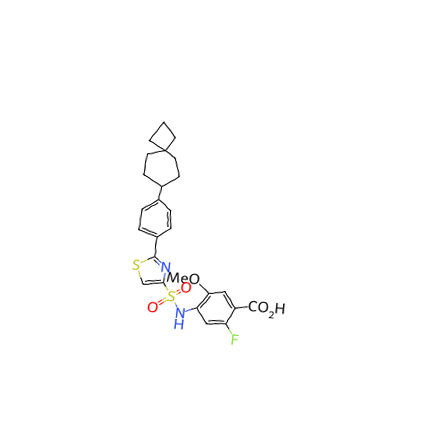 COc1cc(C(=O)O)c(F)cc1NS(=O)(=O)c1csc(-c2ccc(C3CCC4(CCC4)CC3)cc2)n1